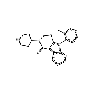 Cc1ccccc1-n1c2c(c3ccccc31)C(=O)N(C1CCNCC1)CC2